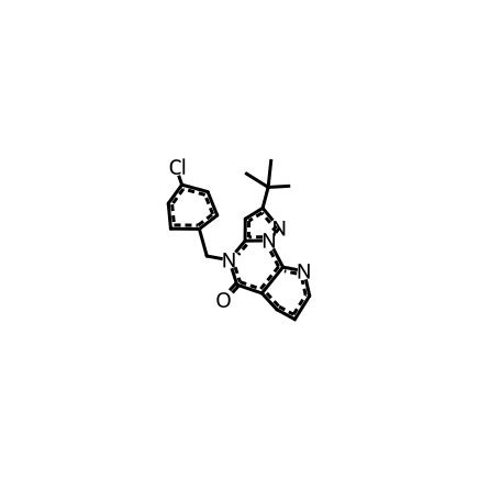 CC(C)(C)c1cc2n(Cc3ccc(Cl)cc3)c(=O)c3cccnc3n2n1